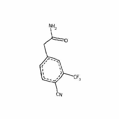 N#Cc1ccc(CC(N)=O)cc1C(F)(F)F